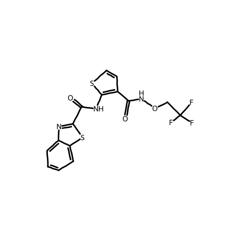 O=C(Nc1sccc1C(=O)NOCC(F)(F)F)c1nc2ccccc2s1